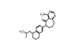 CC(F)CN1CCCc2cc(N3CCOc4ncnc(N)c4C3=O)ccc21